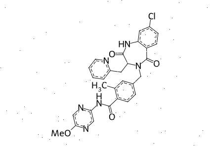 COc1cnc(NC(=O)c2ccc(CN3C(=O)c4ccc(Cl)cc4NC(=O)C3Cc3ccccn3)cc2C)cn1